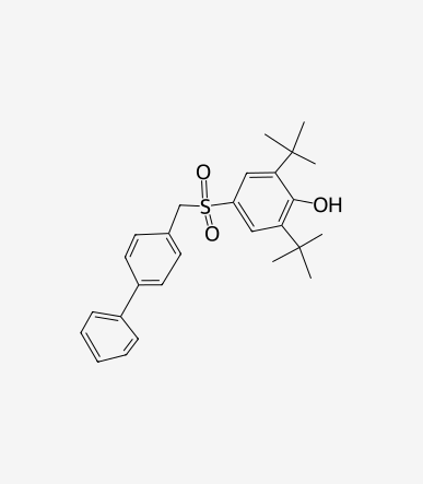 CC(C)(C)c1cc(S(=O)(=O)Cc2ccc(-c3ccccc3)cc2)cc(C(C)(C)C)c1O